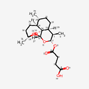 C[C@H]1[C@H](OC(=O)CCC(=O)O)O[C@@H]2O[C@]3(C)CC[C@H]4[C@H](C)CC[C@@H]1[C@@]24OO3